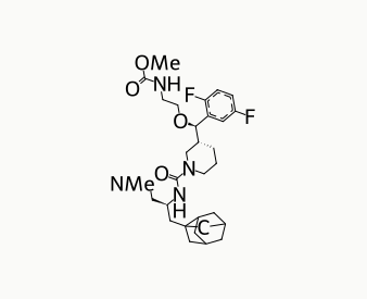 CNC[C@H](CC12CC3CC(CC1C3)C2)NC(=O)N1CCC[C@@H]([C@@H](OCCNC(=O)OC)c2cc(F)ccc2F)C1